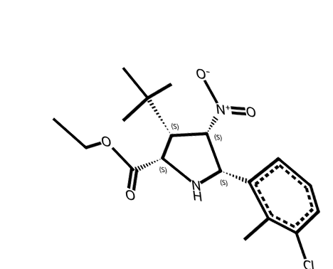 CCOC(=O)[C@H]1N[C@@H](c2cccc(Cl)c2C)[C@@H]([N+](=O)[O-])[C@H]1C(C)(C)C